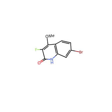 COc1c(F)c(=O)[nH]c2cc(Br)ccc12